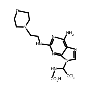 Nc1nc(NCCN2CCOCC2)nc2c1ncn2C(NC(=O)O)C(Cl)(Cl)Cl